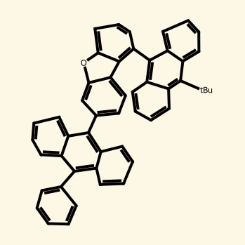 CC(C)(C)c1c2ccccc2c(-c2cccc3oc4cc(-c5c6ccccc6c(-c6ccccc6)c6ccccc56)ccc4c23)c2ccccc12